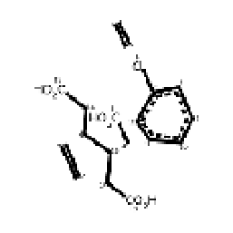 C=C.C=C.CC(=O)O.Clc1ccccc1.O=C(O)CCCCC(=O)O